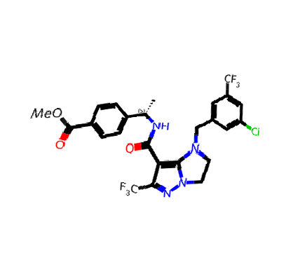 COC(=O)c1ccc([C@H](C)NC(=O)c2c(C(F)(F)F)nn3c2N(Cc2cc(Cl)cc(C(F)(F)F)c2)CC3)cc1